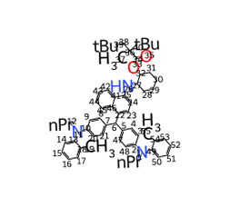 CCCN(c1ccc(C(c2ccc(N(CCC)c3ccccc3C)cc2)c2ccc(NC3CCCCC3OC(=O)C(C)(CC(C)(C)C)C(C)(C)C)c3ccccc23)cc1)c1ccccc1C